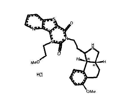 COCCn1c(=O)n(CCC2NC[C@@H]3CCc4c(OC)cccc4[C@H]23)c(=O)c2sc3cccnc3c21.Cl